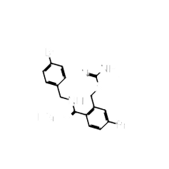 Br.N=C(N)SCc1cc(Br)ccc1C(=O)NCc1ccc(Br)cc1